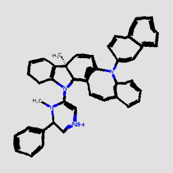 CN1C(N2C3=C(C=CCC3)[C@@]3(C)C=CC4=C(C=CC5C=CC=CC5N4c4ccc5ccccc5c4)C23)=CNCC1c1ccccc1